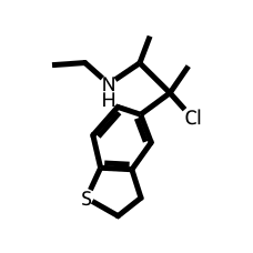 CCNC(C)C(C)(Cl)c1ccc2c(c1)CCS2